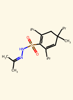 CC(C)=NNS(=O)(=O)C1=C(C(C)C)CC(C)(C(C)C)C=C1C(C)C